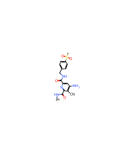 CC(C)NC(=O)c1nc(C(=O)NCc2ccc(S(C)(=O)=O)cc2)cc(N)c1C#N